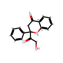 O=C1CC(C(=O)CO)(c2ccccc2)Oc2ccccc21